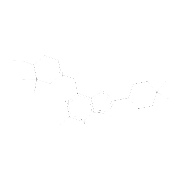 Cc1nc(CN2CCC(O)C(C)(C)C2)c2cc(C3CCC(C)(C)CC3)sc2n1